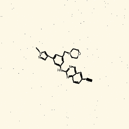 C#Cc1ccc2nc(Nc3cc(CN4CCOCC4)cc(-c4cnn(C)c4)c3)ncc2c1